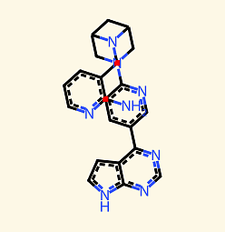 Nc1ncccc1CN1C2CC1CN(c1ccc(-c3ncnc4[nH]ccc34)cn1)C2